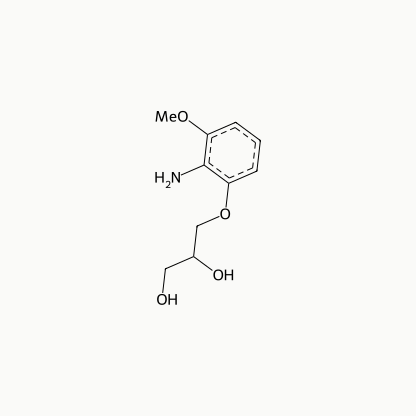 COc1cccc(OCC(O)CO)c1N